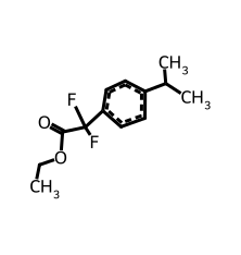 CCOC(=O)C(F)(F)c1ccc(C(C)C)cc1